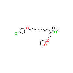 C[C@@]1(Cl)C(CCCCCCCCOc2ccc(Cl)cc2)[C@H]1CCOC1CCCCO1